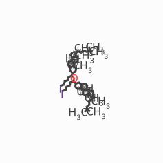 CC(C)CCC[C@@H](C)[C@H]1CC[C@H]2[C@@H]3CC=C4CC(C(CCCCCI)OC(CCCCCI)C5CC[C@@]6(C)C(=CC[C@H]7[C@@H]8CC[C@H]([C@H](C)CCCC(C)C)[C@@]8(C)CC[C@@H]76)C5)CC[C@]4(C)[C@H]3CC[C@]12C